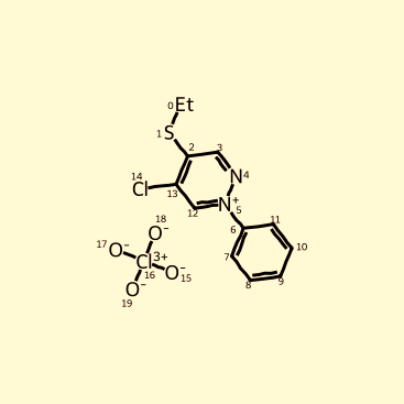 CCSc1cn[n+](-c2ccccc2)cc1Cl.[O-][Cl+3]([O-])([O-])[O-]